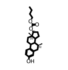 CCCCOC(=O)O[C@H]1CCC2C3C(CC[C@@]21C)c1ccc(O)cc1C[C@@H]3C